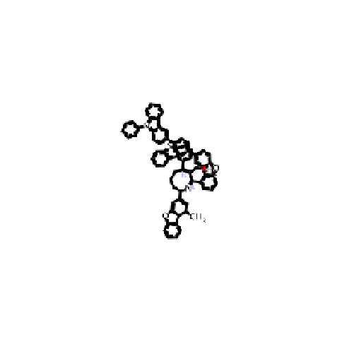 CCC1=C(\c2cccc3sc4ccccc4c23)CCCC(C2=CC(C)C3C(=C2)Oc2ccccc23)/N=C\1c1cccc2oc3ccc(-c4ccc(-c5ccc6c(c5)c5ccccc5n6-c5ccccc5)cc4)cc3c12